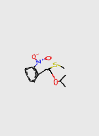 CSC(OC(C)C)c1ccccc1[N+](=O)[O-]